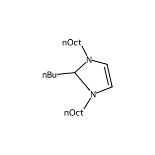 CCCCCCCCN1C=CN(CCCCCCCC)C1CCCC